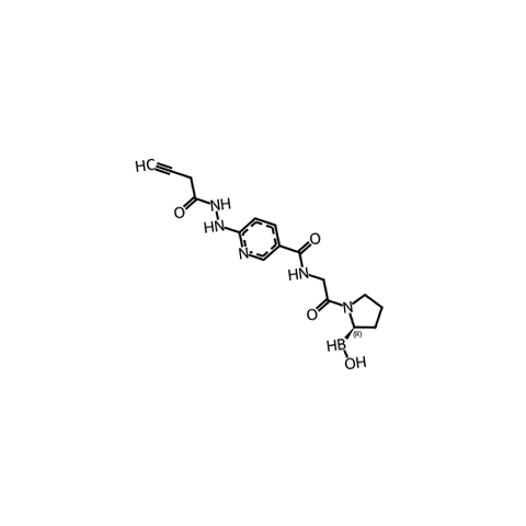 C#CCC(=O)NNc1ccc(C(=O)NCC(=O)N2CCC[C@H]2BO)cn1